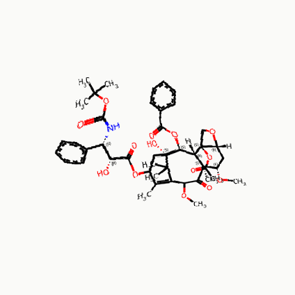 COC1C(=O)[C@]2(C)[C@@H](OC)C[C@H]3OC[C@@]3(OC(C)=O)[C@H]2[C@H](OC(=O)c2ccccc2)[C@]2(O)CC(OC(=O)[C@H](O)[C@@H](NC(=O)OC(C)(C)C)c3ccccc3)C(C)=C1C2(C)C